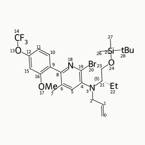 C=CCN(c1cc(C)c(-c2ccc(OC(F)(F)F)cc2OC)nc1Br)[C@@H](CC)CO[Si](C)(C)C(C)(C)C